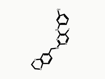 Oc1cccc(Nc2nc(NCc3ccc4c(c3)OCCO4)ncc2F)c1